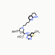 CO[C@H](C)CN(CCCCc1ccc2c(n1)NCCC2)CC[C@H](Nc1ncnc2sc(C)cc12)C(=O)O